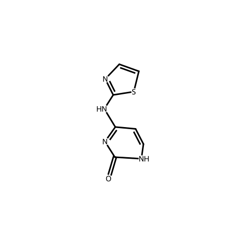 O=c1nc(Nc2nccs2)cc[nH]1